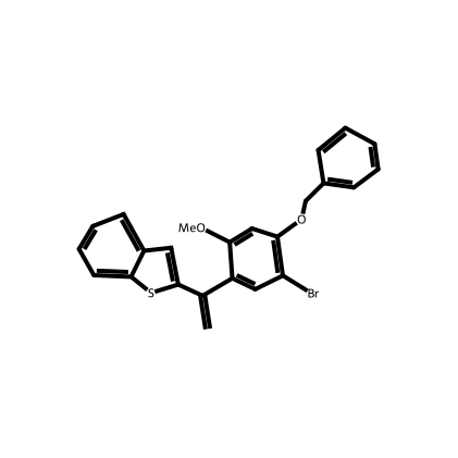 C=C(c1cc2ccccc2s1)c1cc(Br)c(OCc2ccccc2)cc1OC